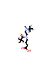 CN(CCN(CCCC(=O)O)C(=O)C(C)(C)C)C(C)(C)C